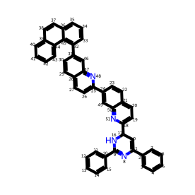 C1=C(c2ccccc2)N=C(c2ccccc2)NC1c1ccc2ccc(-c3ccc4ccc(-c5cccc6ccc7ccccc7c56)cc4n3)cc2n1